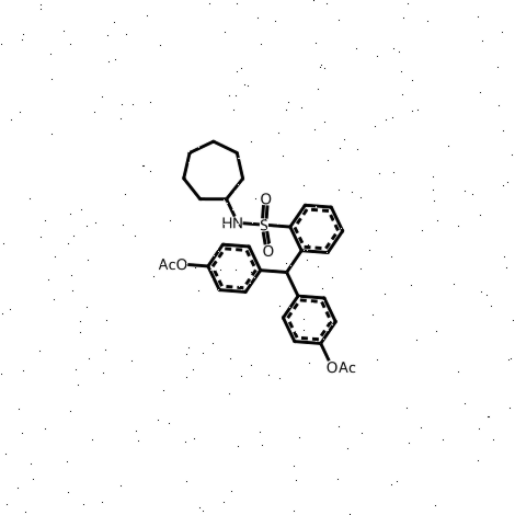 CC(=O)Oc1ccc(C(c2ccc(OC(C)=O)cc2)c2ccccc2S(=O)(=O)NC2CCCCCC2)cc1